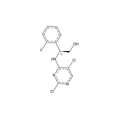 OC[C@@H](Nc1nc(Cl)ncc1Cl)c1ccccc1F